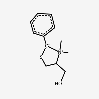 C[N+]1(C)[C+](c2ccccc2)SCC1CO